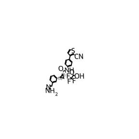 N#Cc1sccc1-c1ccc(NC(=O)[C@@H]2C[C@@H]2c2cccc(C=NN)c2)cc1.O=C(O)C(F)(F)F